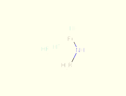 BNCC.F.F.F